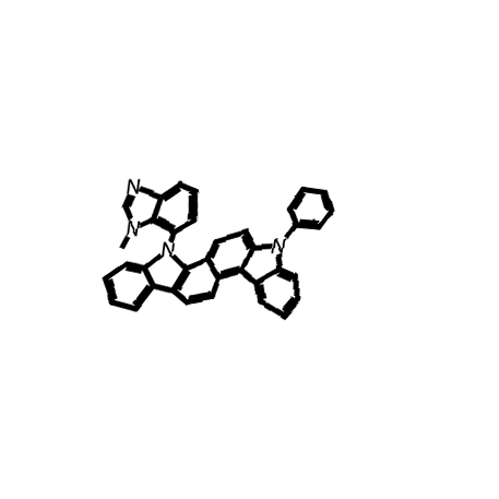 Cn1cnc2cccc(-n3c4ccccc4c4ccc5c(ccc6c5c5ccccc5n6-c5ccccc5)c43)c21